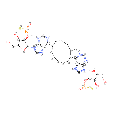 CC1CCCC(c2ncnc3c2ncn3C2OC(CO)[C@@H](O)[C@H]2O[PH](=O)S)CCCCCC1c1ncnc2c1ncn2[C@@H]1O[C@H](CO)[C@@H](O)[C@H]1O[PH](=O)S